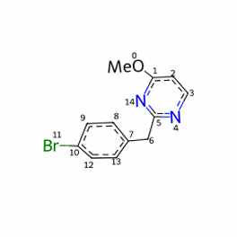 COc1ccnc(Cc2ccc(Br)cc2)n1